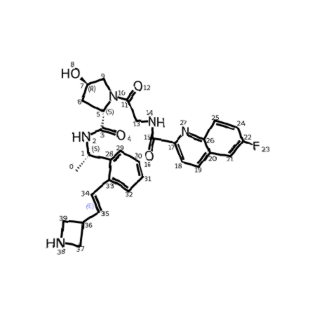 C[C@H](NC(=O)[C@@H]1C[C@@H](O)CN1C(=O)CNC(=O)c1ccc2cc(F)ccc2n1)c1ccccc1/C=C/C1CNC1